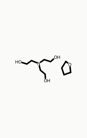 C1CCOC1.OCCN(CCO)CCO